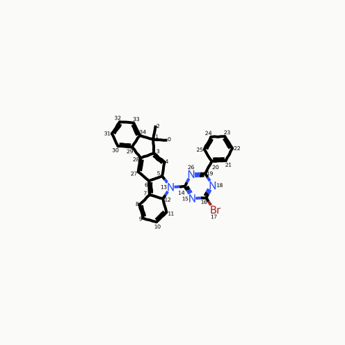 CC1(C)C2=CC3C(=C4C=CC=CC4N3c3nc(Br)nc(-c4ccccc4)n3)C=C2c2ccccc21